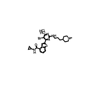 CN1CCC(CCCNc2ncc(Br)c(-c3cc4c(C(=O)NC5CC5)cccc4s3)n2)CC1.Cl.Cl